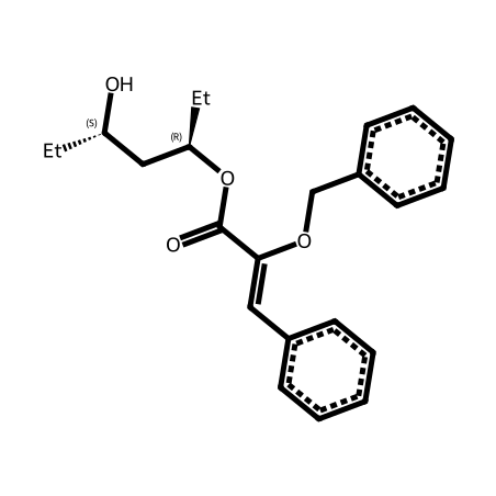 CC[C@H](O)C[C@@H](CC)OC(=O)C(=Cc1ccccc1)OCc1ccccc1